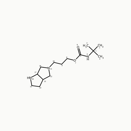 CC(C)(C)NC(=O)OCCCN1CC2CCNC2C1